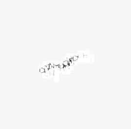 Cc1ccc(S(=O)(=O)c2ccc(OCC(O)CN3CCN(c4ccccc4C)CC3)c(Cl)c2Cl)cc1